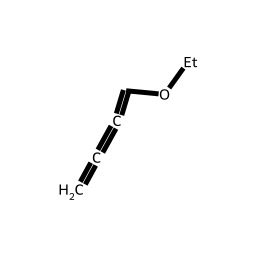 C=C=C=COCC